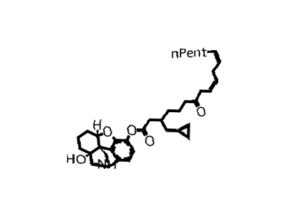 CCCCC/C=C\C/C=C\CC(=O)CCCC(CC(=O)Oc1ccc2c3c1O[C@H]1CCC[C@@]4(O)C(C2)NCC[C@]314)CC1CC1